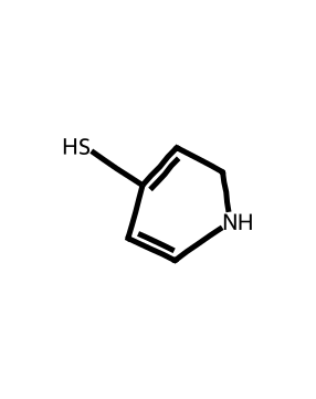 SC1=CCNC=C1